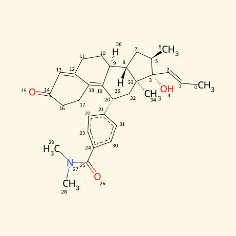 CC=C[C@]1(O)[C@H](C)C[C@H]2[C@@H]3CCC4=CC(=O)CCC4=C3[C@@H](c3ccc(C(=O)N(C)C)cc3)C[C@@]21C